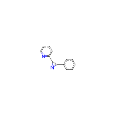 c1ccc(C2=NC2c2ccccn2)cc1